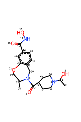 CC(O)N1CCC(C(=O)N2Cc3ccc(C(=O)NO)cc3OC[C@@H]2C)CC1